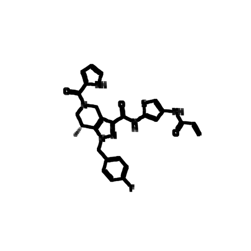 C=CC(=O)Nc1csc(NC(=O)c2nn(Cc3ccc(F)cc3)c3c2CN(C(=O)c2ccc[nH]2)C[C@H]3C)c1